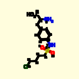 NC(Cc1ccc(NS(=O)(=O)CCCCCl)cc1)C(=O)O